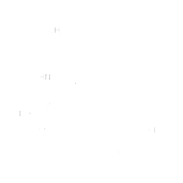 CCCNS(=O)(=O)c1cc(CC(C)=O)ccc1OC